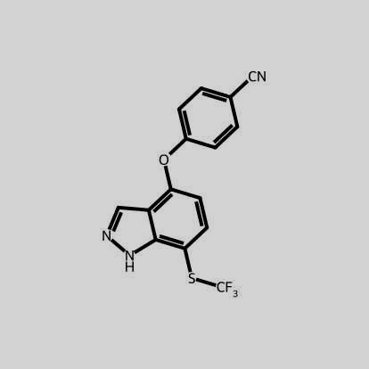 N#Cc1ccc(Oc2ccc(SC(F)(F)F)c3[nH]ncc23)cc1